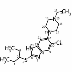 CCC(CC)Sc1nc2cc(Cl)c(N3CCN(CC)CC3)cc2[nH]1